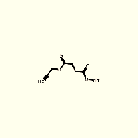 C#CCOC(=O)CCC(=O)OCCC